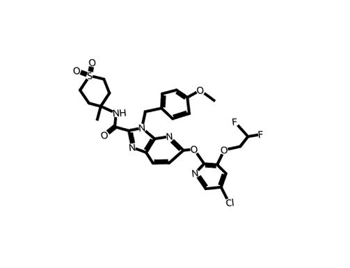 COc1ccc(Cn2c(C(=O)NC3(C)CCS(=O)(=O)CC3)nc3ccc(Oc4ncc(Cl)cc4OCC(F)F)nc32)cc1